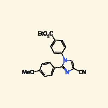 CCOC(=O)c1ccc(-n2cc(C#N)nc2-c2ccc(OC)cc2)cc1